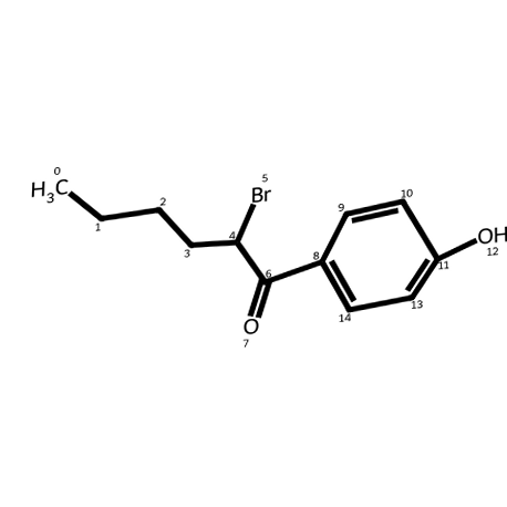 CCCCC(Br)C(=O)c1ccc(O)cc1